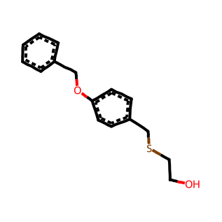 OCCSCc1ccc(OCc2ccccc2)cc1